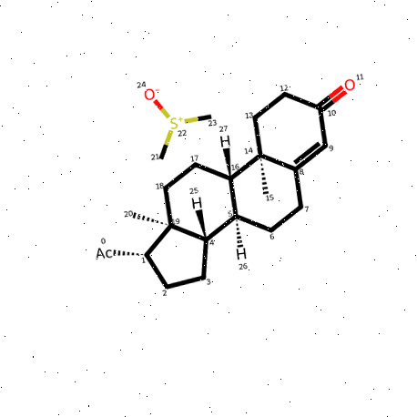 CC(=O)[C@H]1CC[C@H]2[C@@H]3CCC4=CC(=O)CC[C@]4(C)[C@H]3CC[C@]12C.C[S+](C)[O-]